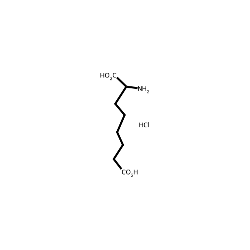 Cl.NC(CCCCCC(=O)O)C(=O)O